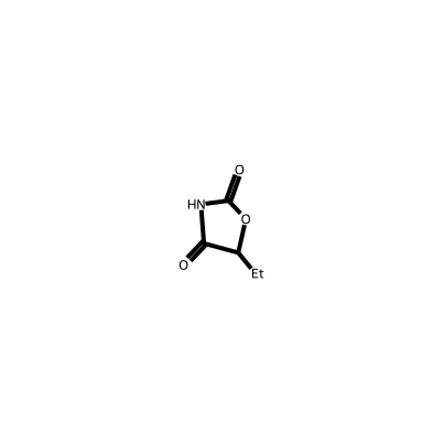 CCC1OC(=O)NC1=O